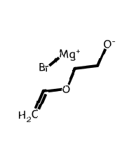 C=COCC[O-].[Mg+][Br]